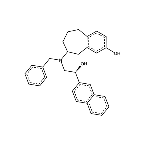 Oc1ccc2c(c1)CC(N(Cc1ccccc1)C[C@@H](O)c1ccc3ccccc3c1)CCC2